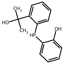 CC(C)(O)c1ccccc1Pc1ccccc1O